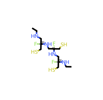 CCNC[C@@](F)(CS)NC[C@@](F)(CS)NC[C@@](F)(CS)NCC